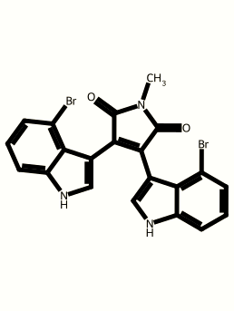 CN1C(=O)C(c2c[nH]c3cccc(Br)c23)=C(c2c[nH]c3cccc(Br)c23)C1=O